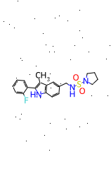 Cc1c(-c2ccccc2F)[nH]c2ccc(CNS(=O)(=O)N3CCCC3)cc12